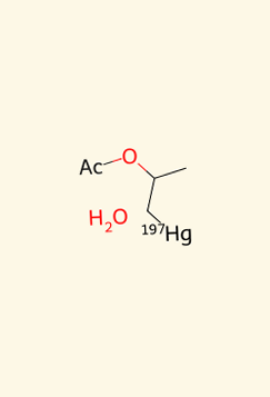 CC(=O)OC(C)[CH2][197Hg].O